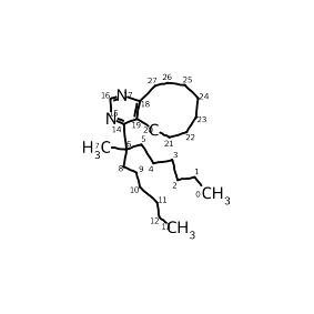 CCCCCCC(C)(CCCCCC)c1ncnc2c1CCCCCCCC2